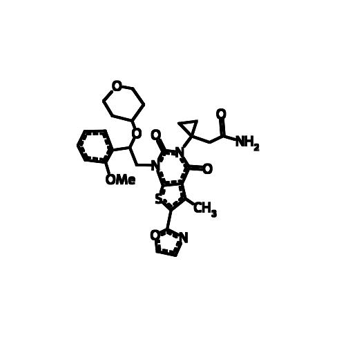 COc1ccccc1C(Cn1c(=O)n(C2(CC(N)=O)CC2)c(=O)c2c(C)c(-c3ncco3)sc21)OC1CCOCC1